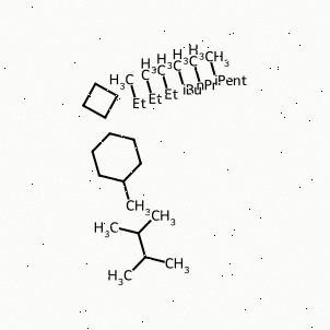 C1CCC1.CC(C)C(C)C.CC1CCCCC1.CCC.CCC.CCC.CCC(C)C.CCCC.CCCC(C)C